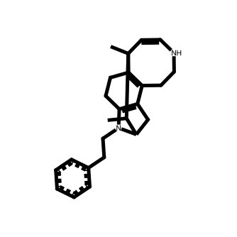 CC1C2CC3=C(CCC4=C3CCN/C=C\C41C)N2CCc1ccccc1